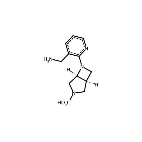 NCc1cccnc1N1C[C@H]2CN(C(=O)O)C[C@H]21